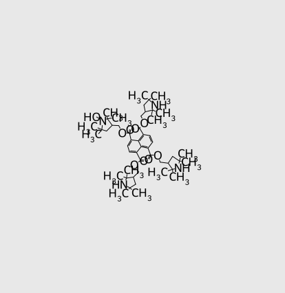 CC1(C)CC(COC(=O)c2ccc(C(=O)OCC3CC(C)(C)NC3(C)C)c3c(C(=O)OCC4CC(C)(C)N(O)C4(C)C)ccc(C(=O)OCC4CC(C)(C)NC4(C)C)c23)C(C)(C)N1